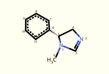 CN1[C]=NC[C@H]1c1ccccc1